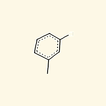 Cc1[c]ccc(Cl)c1